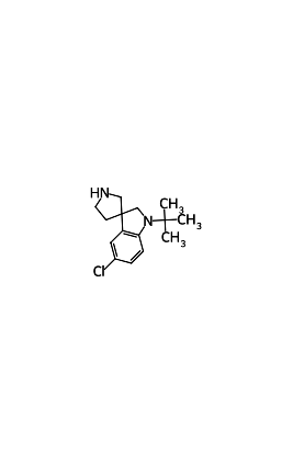 CC(C)(C)N1CC2(CCNC2)c2cc(Cl)ccc21